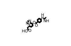 CC(=N)Nc1ccc(C(=O)Oc2ccc(CC(=O)O)n3ncnc23)cc1